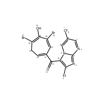 CCc1nc2ncc(C(F)(F)F)cn2c1C(=O)C1=CCC(Br)=C(O)C(Br)=C1